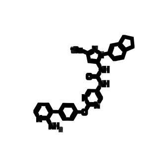 CC(C)(C)c1cc(NC(=O)Nc2cnc(Oc3ccc(-c4cccnc4N)cc3)nc2)n(-c2ccc3c(c2)CCC3)n1